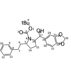 CC(C)(C)OC(=O)N1C(CCc2ccccc2)CCC1C(O)c1ccc2c(c1)OCO2